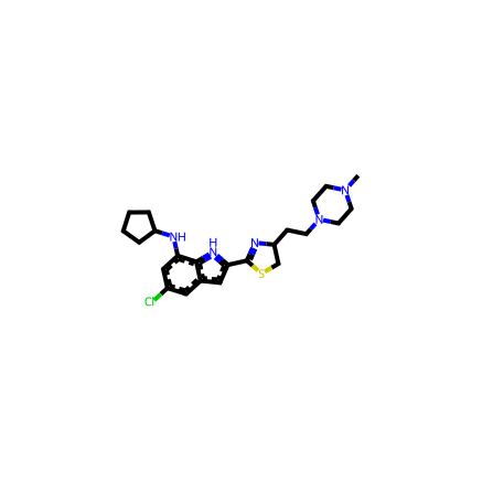 CN1CCN(CCC2CSC(c3cc4cc(Cl)cc(NC5CCCC5)c4[nH]3)=N2)CC1